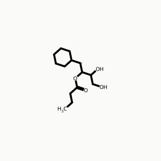 CCCC(=O)OC([CH]C1CCCCC1)C(O)CO